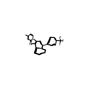 Cc1ccn2c(c1)nc1c3ccccc3c(-c3ccc(C(F)(F)F)cc3)cc12